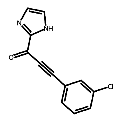 O=C(C#Cc1cccc(Cl)c1)c1ncc[nH]1